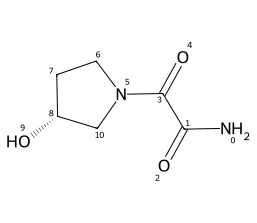 NC(=O)C(=O)N1CC[C@@H](O)C1